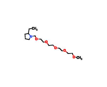 CCC1CCCN1COCCOCCOCCOCCOC